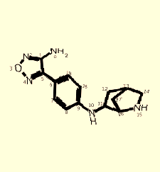 Nc1nonc1-c1ccc(NC2CC3CNC2C3)cc1